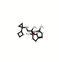 CCCC(/C=C(\C)CNC1(C2CCC2)CC1)/C1=C\CC(C)NC(C)CC1